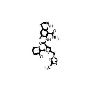 Cc1cc2c(c(C(N)=O)c1NC(=O)c1cc(Cn3nnc(C(F)(F)F)n3)nn1-c1ncccc1Cl)NN=CC2